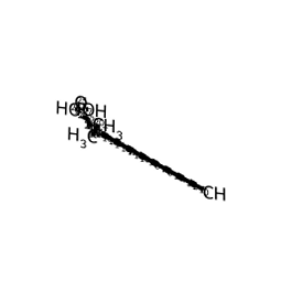 C#CC#CC#CC#CC#CC#CC#CC#CC#C[N+](C)(C)CCCP(=O)(O)O